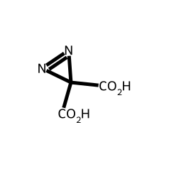 O=C(O)C1(C(=O)O)N=N1